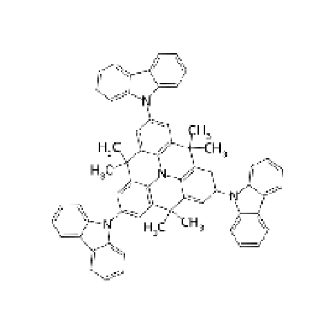 CC1(C)C2=CC(n3c4ccccc4c4ccccc43)CC3=C2N2c4c1cc(-n1c5ccccc5c5ccccc51)cc4C(C)(C)c1cc(-n4c5ccccc5c5ccccc54)cc(c12)C3(C)C